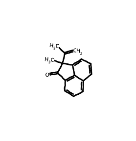 C=C(C)C1(C)C(=O)c2cccc3cccc1c23